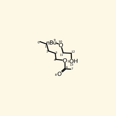 CCCCCOC(C)=O.CCCCOCCO